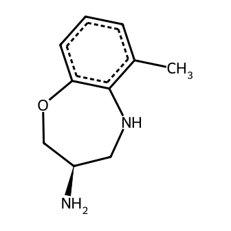 Cc1cccc2c1NC[C@@H](N)CO2